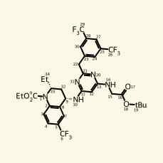 CCOC(=O)N1c2ccc(C(F)(F)F)cc2[C@@H](Nc2cc(NCC(=O)OC(C)(C)C)nc(Cc3cc(C(F)(F)F)cc(C(F)(F)F)c3)n2)C[C@H]1CC